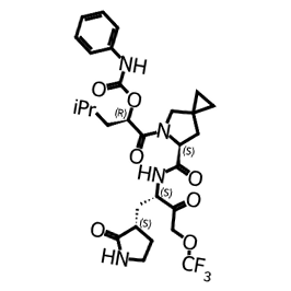 CC(C)C[C@@H](OC(=O)Nc1ccccc1)C(=O)N1CC2(CC2)C[C@H]1C(=O)N[C@@H](C[C@@H]1CCNC1=O)C(=O)COC(F)(F)F